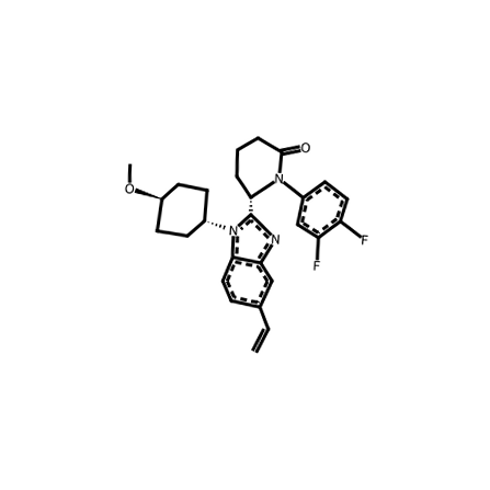 C=Cc1ccc2c(c1)nc([C@@H]1CCCC(=O)N1c1ccc(F)c(F)c1)n2[C@H]1CC[C@H](OC)CC1